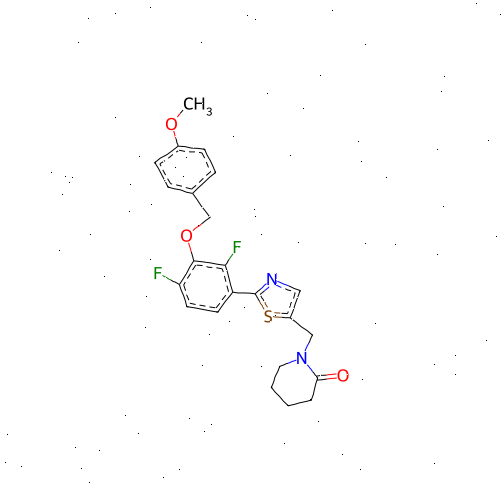 COc1ccc(COc2c(F)ccc(-c3ncc(CN4CCCCC4=O)s3)c2F)cc1